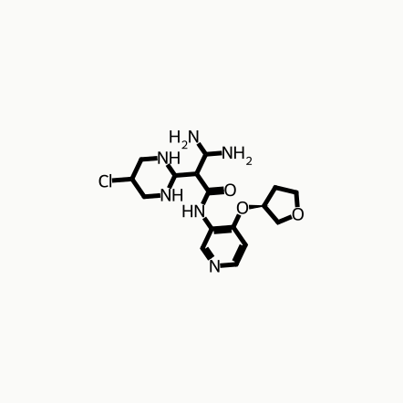 NC(N)C(C(=O)Nc1cnccc1O[C@H]1CCOC1)C1NCC(Cl)CN1